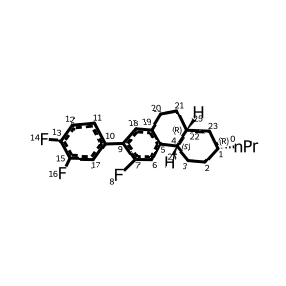 CCC[C@@H]1CC[C@@H]2c3cc(F)c(-c4ccc(F)c(F)c4)cc3CC[C@@H]2C1